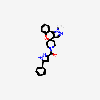 Cn1ncc2c1-c1ccccc1OC21CCN(C(=O)c2cc(-c3ccccc3)[nH]n2)CC1